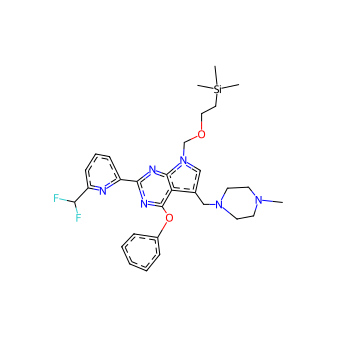 CN1CCN(Cc2cn(COCC[Si](C)(C)C)c3nc(-c4cccc(C(F)F)n4)nc(Oc4ccccc4)c23)CC1